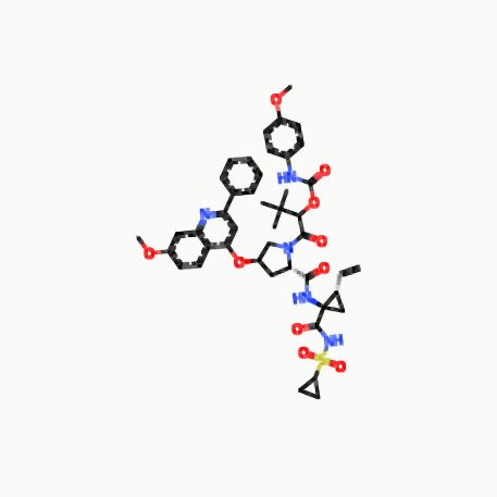 C=C[C@@H]1C[C@]1(NC(=O)[C@@H]1C[C@@H](Oc2cc(-c3ccccc3)nc3cc(OC)ccc23)CN1C(=O)C(OC(=O)Nc1ccc(OC)cc1)C(C)(C)C)C(=O)NS(=O)(=O)C1CC1